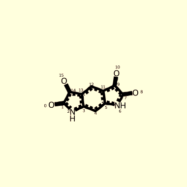 O=c1[nH]c2cc3[nH]c(=O)c(=O)c3cc2c1=O